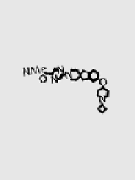 CNC(=O)c1cnc(N2CCC3(CC2)Cc2ccc(OC4CCN(C5CCC5)CC4)cc2C3)cn1